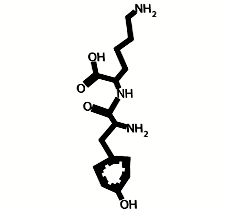 NCCCCC(NC(=O)C(N)Cc1ccc(O)cc1)C(=O)O